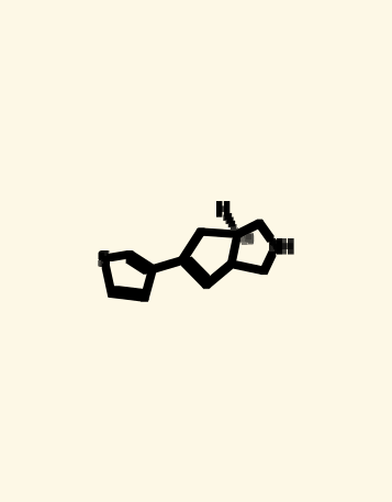 C1=C(c2ccsc2)C[C@H]2CNCC12